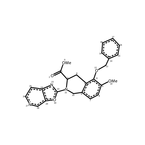 COC(=O)C1Cc2c(ccc(OC)c2OCc2ccccc2)CN1c1nc2ccncc2o1